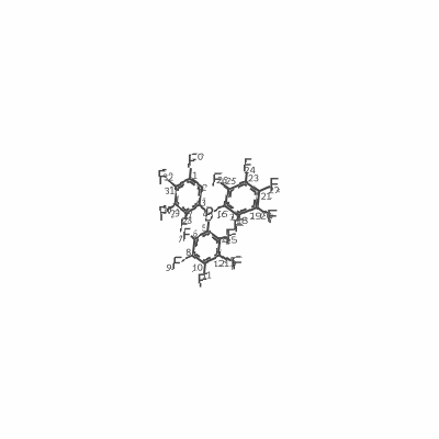 Fc1cc(B(c2c(F)c(F)c(F)c(F)c2F)c2c(F)c(F)c(F)c(F)c2F)c(F)c(F)c1F